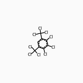 Clc1c(C(Cl)(Cl)Cl)cc(C(Cl)(Cl)Cl)c(Cl)c1Cl